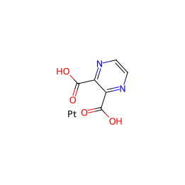 O=C(O)c1nccnc1C(=O)O.[Pt]